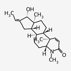 C/C=C1/C[C@H]2[C@@H]3CC[C@H]4N(C)C(=O)C=C[C@]4(C)[C@H]3CC[C@]2(C)[C@H]1O